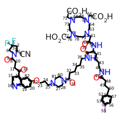 N#C[C@H]1CC(F)(F)CN1C(=O)CCC(=O)c1ccnc2ccc(OCCCN3CCN(C(=O)CCCCCNC(=O)C(CCCCNC(=O)CCCc4ccc(I)cc4)NC(=O)CN4CCN(CC(=O)O)CCN(CC(=O)O)CCN(CC(=O)O)CC4)CC3)cc12